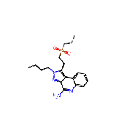 CCCCn1nc2c(N)nc3ccccc3c2c1CCS(=O)(=O)CCC